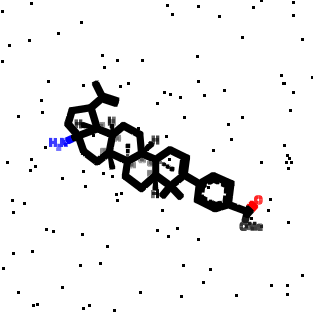 C=C(C)C1CCC2(N)CC[C@]3(C)[C@H](CC[C@@H]4[C@@]5(C)CC=C(c6ccc(C(=O)OC)cc6)C(C)(C)[C@@H]5CC[C@]43C)[C@@H]12